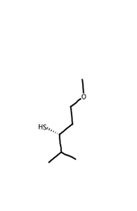 COCC[C@@H](S)C(C)C